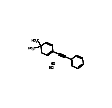 Cl.Cl.O=C(O)C1(C(=O)O)C=CC(C#Cc2ccccc2)=CC1